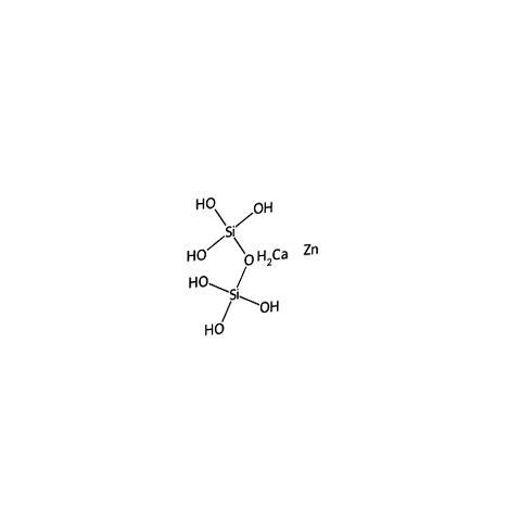 O[Si](O)(O)O[Si](O)(O)O.[CaH2].[Zn]